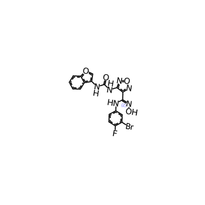 O=C(Nc1nonc1/C(=N/O)Nc1ccc(F)c(Br)c1)Nc1coc2ccccc12